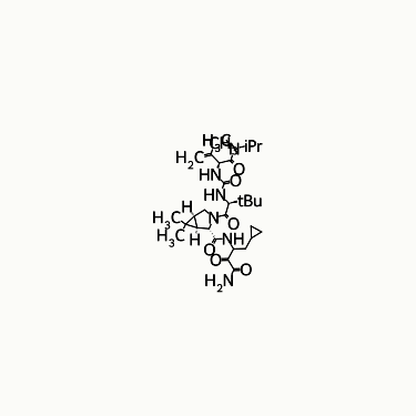 C=C(C)[C@H](NC(=O)N[C@H](C(=O)N1C[C@H]2[C@@H]([C@H]1C(=O)NC(CC1CC1)C(=O)C(N)=O)C2(C)C)C(C)(C)C)C(=O)N(C)C(C)C